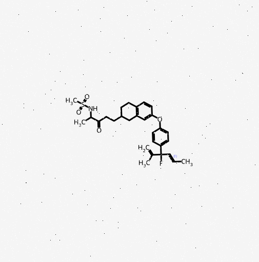 C=C(C)C(F)(/C=C/C)c1ccc(Oc2ccc3c(c2)CC(CCC(=O)C(C)NS(C)(=O)=O)CC3)cc1